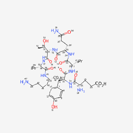 CC(C)[C@H](NC(=O)[C@H](Cc1ccc(O)cc1)NC(=O)[C@@H](N)CCC(=O)O)C(=O)N[C@@H](CCC(N)=O)C(=O)N[C@H](C(=O)N[C@H](C(=O)N[C@@H](CCCCN)C(=O)O)C(C)C)[C@@H](C)O